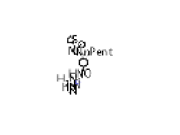 C=NN/N=C(\N)CNC(=O)c1ccc([C@@H](CCCCC)N2CN=C(c3cccs3)C2=O)cc1